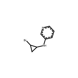 BrC1CC1Nc1cccnc1